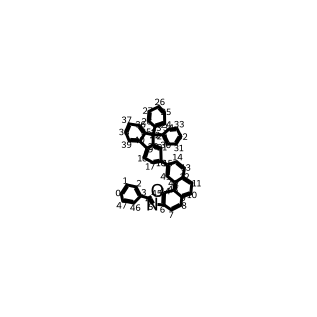 c1ccc(-c2nc3ccc4ccc5ccc(-c6ccc7c(c6)C(c6ccccc6)(c6ccccc6)c6ccccc6-7)cc5c4c3o2)cc1